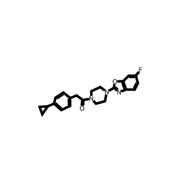 O=C(Cc1ccc(C2CC2)cc1)N1CCN(c2nc3ccc(F)cc3o2)CC1